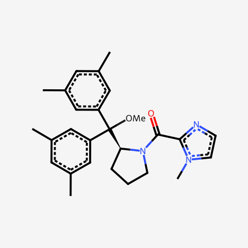 COC(c1cc(C)cc(C)c1)(c1cc(C)cc(C)c1)[C@@H]1CCCN1C(=O)c1nccn1C